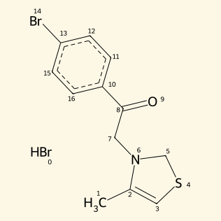 Br.CC1=CSCN1CC(=O)c1ccc(Br)cc1